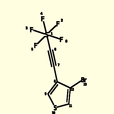 FS(F)(F)(F)(F)C#Cc1cscc1Br